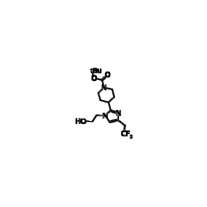 CC(C)(C)OC(=O)N1CCC(c2nc(CC(F)(F)F)cn2CCO)CC1